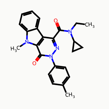 CCN(C(=O)c1nn(-c2ccc(C)cc2)c(=O)c2c1c1ccccc1n2C)C1CC1